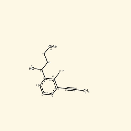 CC#Cc1ccnc(C(O)CCOC)c1F